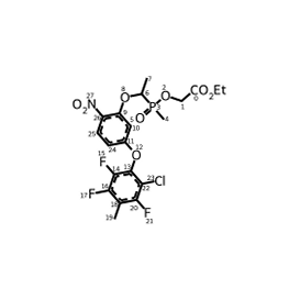 CCOC(=O)COP(C)(=O)C(C)Oc1cc(Oc2c(F)c(F)c(C)c(F)c2Cl)ccc1[N+](=O)[O-]